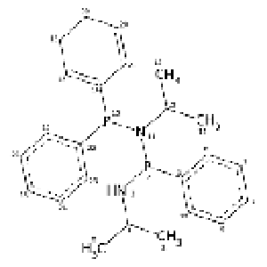 CC(C)NP(c1ccccc1)N(C(C)C)P(C1=CCCC=C1)c1ccccc1